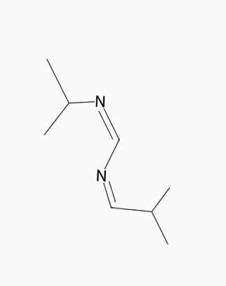 CC(C)/C=N\C=N/C(C)C